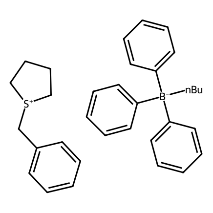 CCCC[B-](c1ccccc1)(c1ccccc1)c1ccccc1.c1ccc(C[S+]2CCCC2)cc1